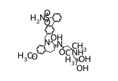 COc1ccc2c(c1)CC[C@@H](NC(=O)CC(C)(C)NC[C@H](O)CO)C(=O)N2Cc1ccc(-c2ccccc2S(N)(=O)=O)cc1